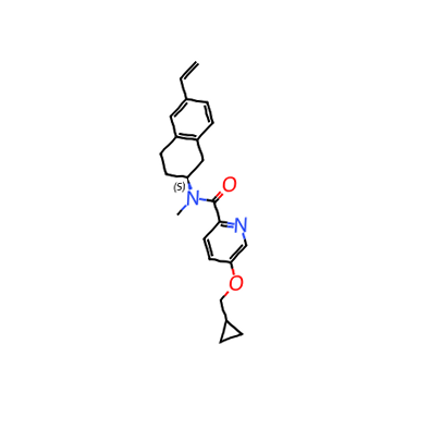 C=Cc1ccc2c(c1)CC[C@H](N(C)C(=O)c1ccc(OCC3CC3)cn1)C2